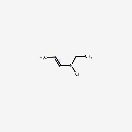 C/C=C/N(C)CC